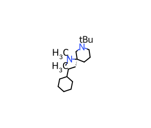 CN(C)[C@]1(CCC2CCCCC2)CCCN(C(C)(C)C)C1